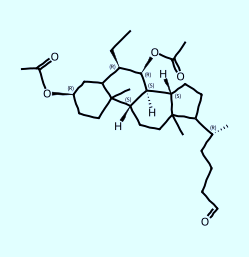 CC[C@@H]1C2C[C@H](OC(C)=O)CCC2(C)[C@H]2CCC3(C)C([C@H](C)CCCC=O)CC[C@H]3[C@@H]2[C@@H]1OC(C)=O